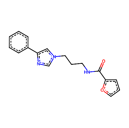 O=C(NCCCn1cnc(-c2ccccc2)c1)c1ccco1